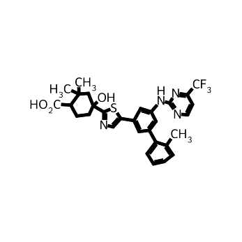 Cc1ccccc1-c1cc(Nc2nccc(C(F)(F)F)n2)cc(-c2cnc(C3(O)CCC(C(=O)O)C(C)(C)C3)s2)c1